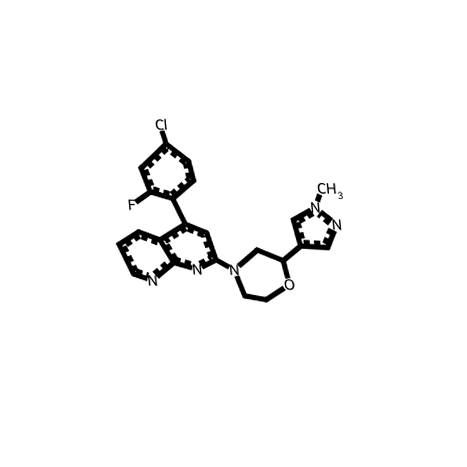 Cn1cc(C2CN(c3cc(-c4ccc(Cl)cc4F)c4cccnc4n3)CCO2)cn1